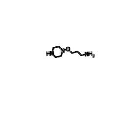 NCCCON1CCNCC1